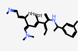 C=C(NC(C)c1cccc(C)c1)C(=C/C)/C(C)=C/C(=C\N(C)C)C(=C/C=N\C)/CCCCCCC